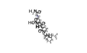 CC(C)Cc1cccc2cc(Cn3cccc(NC(=O)[C@H](CC/C=C/C(N)=O)NC(=O)O)c3=O)[nH]c12